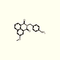 COc1cc2c3c(cccc3c1)C(=O)N(Cc1ccc(N)cc1)C2=O